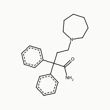 NC(=O)C(CCN1CCCCCC1)(c1ccccc1)c1ccccc1